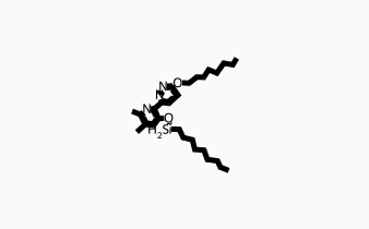 CCCCCCCCC[SiH2]Oc1cc(C)c(C)nc1-c1ccc(OCCCCCCCC)nn1